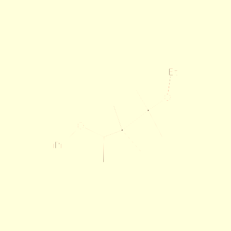 CCOC(C)(C)C(C)(C)C(C)OC(C)C